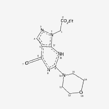 CCOC(=O)Cn1ncc2c(=O)nc(N3CCOCC3)[nH]c21